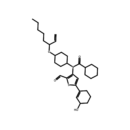 C=CC(CCCCC)OC1CCC(N(C(=O)C2CCCCC2)c2cc(C3=CC(O)CCC3)sc2C=O)CC1